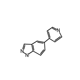 C1=N[N]c2ccc(-c3ccncc3)cc21